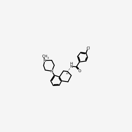 CN1CCN(c2cccc3c2C[C@H](NC(=O)c2ccc(Cl)cc2)CC3)CC1